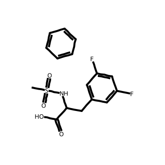 CS(=O)(=O)NC(Cc1cc(F)cc(F)c1)C(=O)O.c1ccccc1